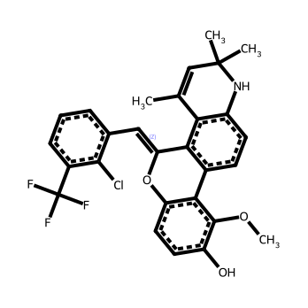 COc1c(O)ccc2c1-c1ccc3c(c1/C(=C/c1cccc(C(F)(F)F)c1Cl)O2)C(C)=CC(C)(C)N3